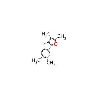 Cc1cc2c(cc1C)-c1oc(C)c(C)c1C2